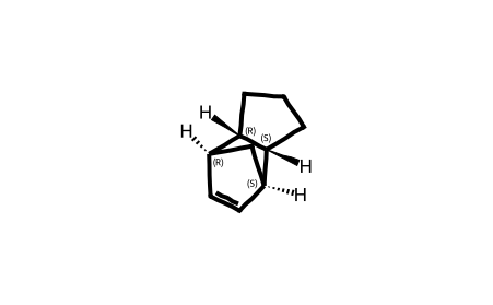 C1=C[C@H]2C[C@@H]1[C@@H]1CCC[C@@H]12